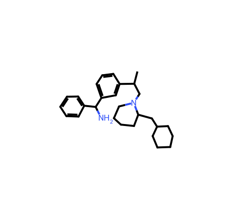 CC(CN1CCCCC1CC1CCCCC1)c1cccc(C(N)c2ccccc2)c1